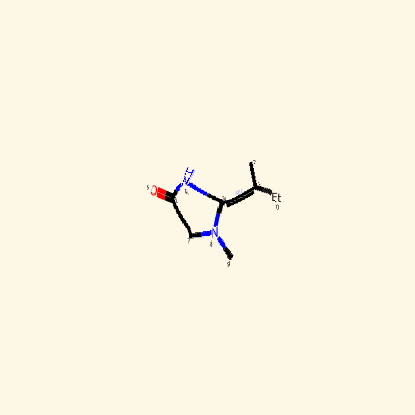 CC/C(C)=C1/NC(=O)CN1C